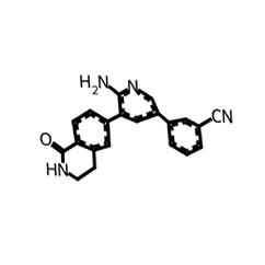 N#Cc1cccc(-c2cnc(N)c(-c3ccc4c(c3)CCNC4=O)c2)c1